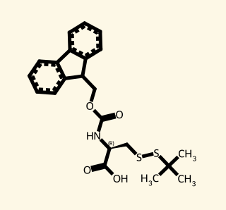 CC(C)(C)SSC[C@H](NC(=O)OCC1c2ccccc2-c2ccccc21)C(=O)O